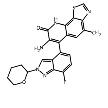 Cc1cc2c(-c3ccc(F)c4nn(C5CCCCO5)cc34)c(N)c(=O)[nH]c2c2scnc12